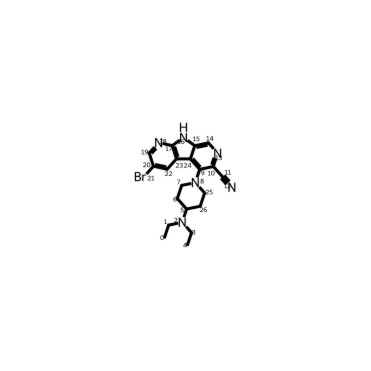 CCN(CC)C1CCN(c2c(C#N)ncc3[nH]c4ncc(Br)cc4c23)CC1